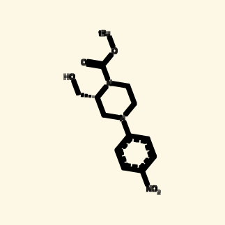 CC(C)(C)OC(=O)N1CCN(c2ccc([N+](=O)[O-])cc2)C[C@@H]1CO